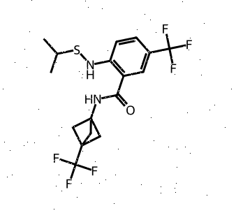 CC(C)SNc1ccc(C(F)(F)F)cc1C(=O)NC12CC(C(F)(F)F)(C1)C2